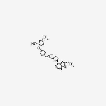 N#Cc1cc(C(F)(F)F)ccc1Oc1ccc(CN2CCC3(CCN(c4ncnc5sc(CC(F)(F)F)cc45)C3)C2)cc1